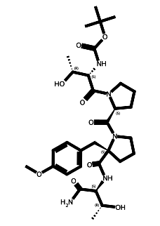 COc1ccc(C[C@]2(C(=O)N[C@H](C(N)=O)[C@@H](C)O)CCCN2C(=O)[C@@H]2CCCN2C(=O)[C@@H](NC(=O)OC(C)(C)C)[C@@H](C)O)cc1